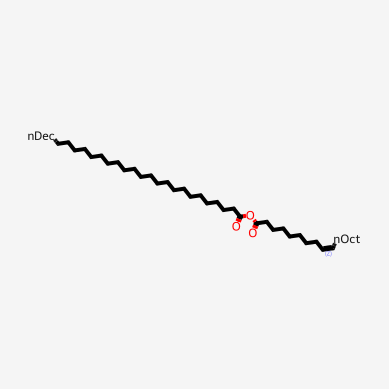 CCCCCCCC/C=C\CCCCCCCC(=O)OC(=O)CCCCCCCCCCCCCCCCCCCCCCCCCCCCCCCC